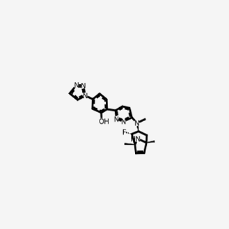 CN(c1ccc(-c2ccc(-n3ccnn3)cc2O)nn1)[C@H]1C[C@]2(C)C=C[C@@](C)(N2)[C@@H]1F